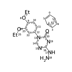 C1=CC2=CC=C1C2.CCOc1ccc(-n2cnc(NN)nc2=O)cc1OCC